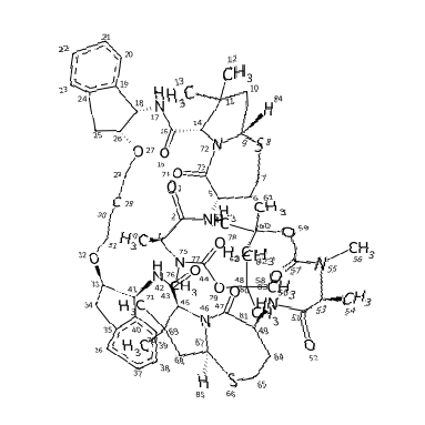 C[C@@H](C(=O)N[C@H]1CCS[C@H]2CC(C)(C)[C@@H](C(=O)N[C@H]3c4ccccc4C[C@H]3OCCCCO[C@@H]3Cc4ccccc4[C@@H]3NC(=O)[C@H]3N4C(=O)[C@@H](NC(=O)[C@H](C)N(C)C(=O)OC(C)(C)C)CCS[C@H]4CC3(C)C)N2C1=O)N(C)C(=O)OC(C)(C)C